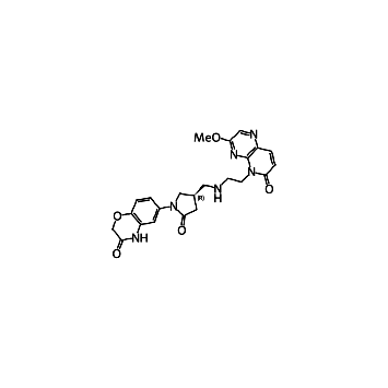 COc1cnc2ccc(=O)n(CCNC[C@H]3CC(=O)N(c4ccc5c(c4)NC(=O)CO5)C3)c2n1